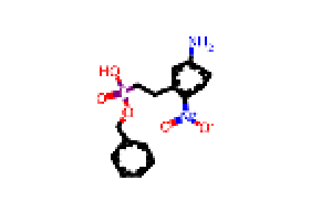 Nc1ccc([N+](=O)[O-])c(CCP(=O)(O)OCc2ccccc2)c1